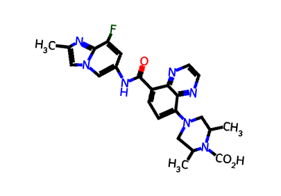 Cc1cn2cc(NC(=O)c3ccc(N4CC(C)N(C(=O)O)C(C)C4)c4nccnc34)cc(F)c2n1